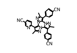 Cc1nn2c(c1-c1ccc(C#N)cc1)n1nc(C)c(-c3ccc(C#N)cc3)c1n1nc(C)c(-c3ccc(C#N)cn3)c21